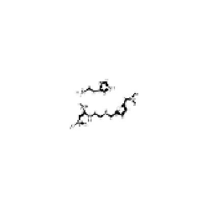 CN/C(=C/[N+](=O)[O-])NCCSCc1ccc(CN(C)C)o1.NCCc1c[nH]cn1